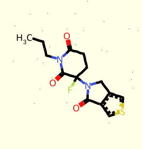 CCCN1C(=O)CCC(F)(N2Cc3cscc3C2=O)C1=O